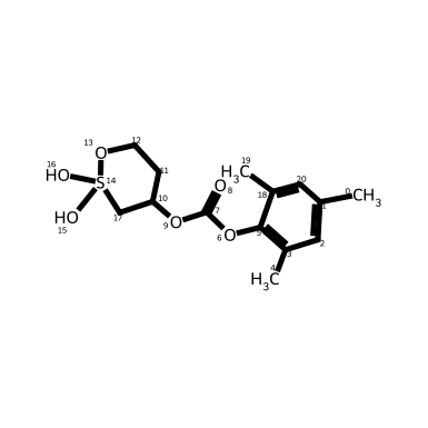 Cc1cc(C)c(OC(=O)OC2CCOS(O)(O)C2)c(C)c1